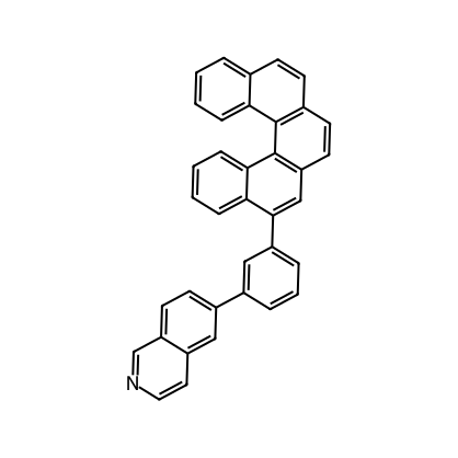 c1cc(-c2ccc3cnccc3c2)cc(-c2cc3ccc4ccc5ccccc5c4c3c3ccccc23)c1